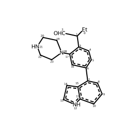 CCC(C=O)c1ccc(-c2cccc3[nH]ccc23)cc1N1CCNCC1